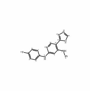 CC(C)Nc1cc(Nc2ccc(F)cc2)ncc1-c1nnco1